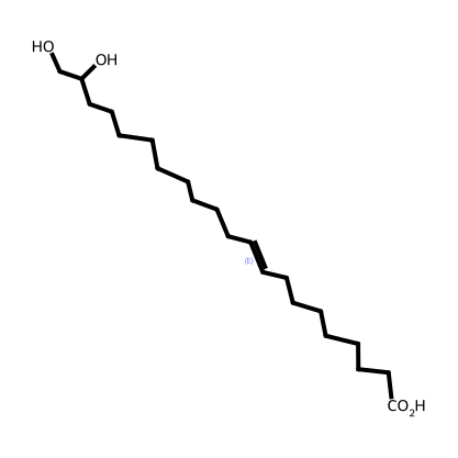 O=C(O)CCCCCCC/C=C/CCCCCCCCCC(O)CO